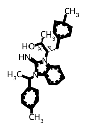 Cc1ccc(C[C@@H]([C@H](C)O)n2c(=N)n(C(C)c3ccc(C)cc3)c3ccccc32)cc1